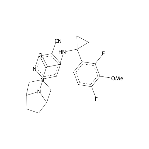 COc1c(F)ccc(C2(NCC(=O)N3CC4CCC(C3)N4c3ccc(C#N)cn3)CC2)c1F